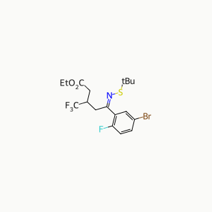 CCOC(=O)CC(C/C(=N/SC(C)(C)C)c1cc(Br)ccc1F)C(F)(F)F